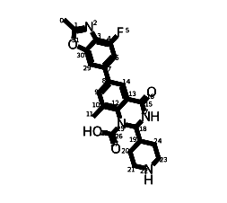 Cc1nc2c(F)cc(-c3cc(C)c4c(c3)C(=O)NC(C3CCNCC3)N4C(=O)O)cc2o1